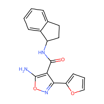 Nc1onc(-c2ccco2)c1C(=O)NC1CCc2ccccc21